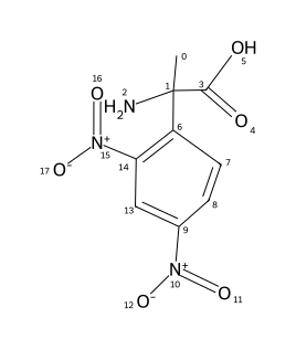 CC(N)(C(=O)O)c1ccc([N+](=O)[O-])cc1[N+](=O)[O-]